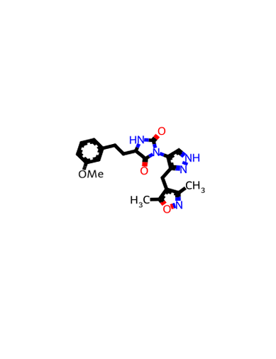 COc1cccc(CCC2NC(=O)N(c3c[nH]nc3Cc3c(C)noc3C)C2=O)c1